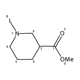 COC(=O)C1CCCN(I)C1